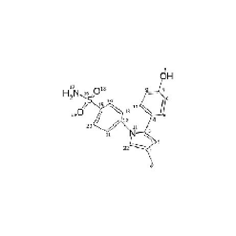 Cc1cc(-c2ccc(O)cc2)n(-c2ccc(S(N)(=O)=O)cc2)c1